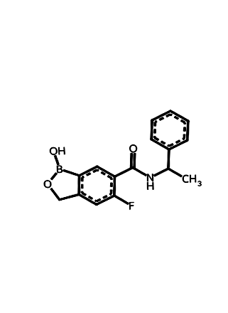 CC(NC(=O)c1cc2c(cc1F)COB2O)c1ccccc1